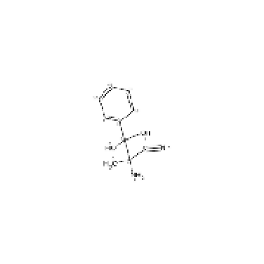 CC(N)(C#N)C(O)(O)c1ccccc1